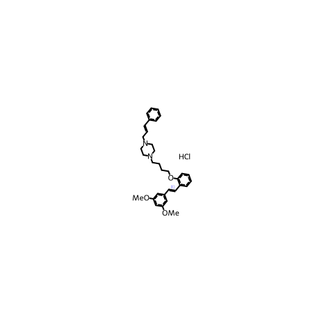 COc1cc(/C=C/c2ccccc2OCCCCN2CCN(CC=Cc3ccccc3)CC2)cc(OC)c1.Cl